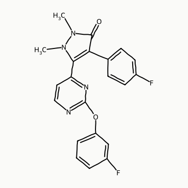 Cn1c(-c2ccnc(Oc3cccc(F)c3)n2)c(-c2ccc(F)cc2)c(=O)n1C